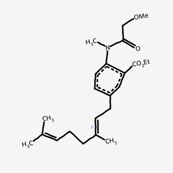 CCOC(=O)c1cc(C/C=C(\C)CCC=C(C)C)ccc1N(C)C(=O)COC